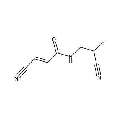 CC(C#N)CNC(=O)/C=C/C#N